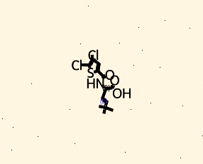 CC(C)(C)/C=C/[C@@H](NC(=O)c1cc(Cl)c(Cl)s1)C(=O)O